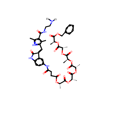 CCN(CC)CCNC(=O)c1c(C)[nH]c(/C=C2\C(=O)Nc3ccc(NC(=O)CCC(=O)O[C@@H](C)C(=O)O[C@@H](C)C(=O)O[C@@H](C)C(=O)O[C@@H](C)C(=O)O[C@@H](C)C(=O)O[C@@H](C)C(=O)OCc4ccccc4)cc32)c1C